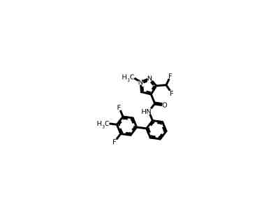 Cc1c(F)cc(-c2ccccc2NC(=O)c2cn(C)nc2C(F)F)cc1F